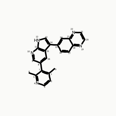 Cc1ccnc(C)c1-c1cnc2[nH]cc(-c3ccc4nccnc4c3)c2c1